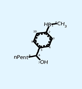 CBc1ccc(C(O)CCCCC)cc1